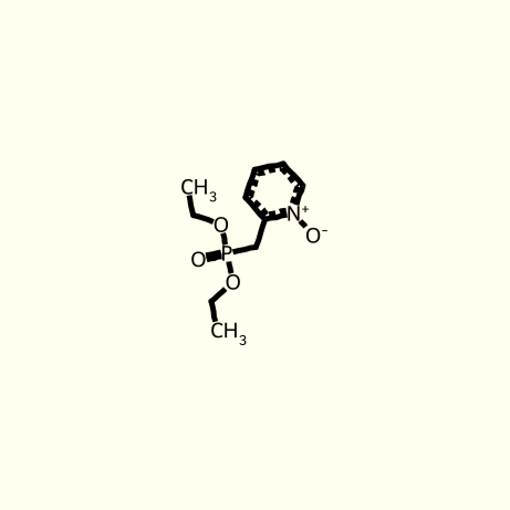 CCOP(=O)(Cc1cccc[n+]1[O-])OCC